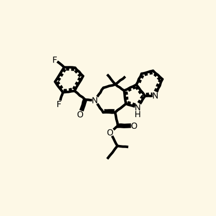 CC(C)OC(=O)C1=CN(C(=O)c2ccc(F)cc2F)CC(C)(C)c2c1[nH]c1ncccc21